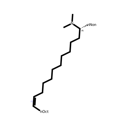 CCCCCCCC/C=C\CCCCCCCCC[C@@H](CCCCCCCCC)N(C)C